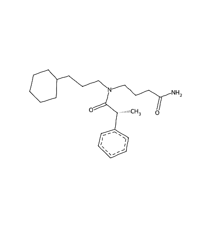 C[C@@H](C(=O)N(CCCC(N)=O)CCCC1CCCCC1)c1ccccc1